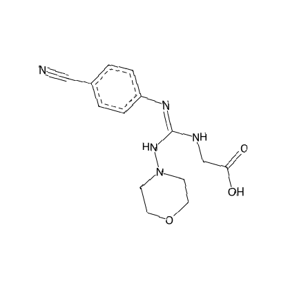 N#Cc1ccc(N=C(NCC(=O)O)NN2CCOCC2)cc1